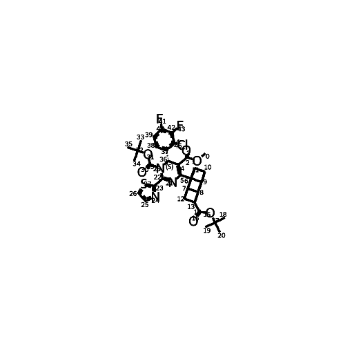 COC(=O)C1=C(C23C4C5C2C2C3C4C52C(=O)OC(C)(C)C)N=C(c2nccs2)N(C(=O)OC(C)(C)C)[C@@H]1c1ccc(F)c(F)c1Cl